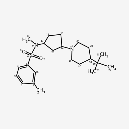 Cc1cccc(S(=O)(=O)N(C)C2CCC(N3CCC(C(C)(C)C)CC3)C2)c1